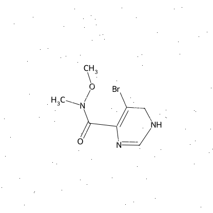 CON(C)C(=O)C1=C(Br)CNC=N1